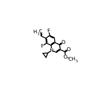 C=Cc1c(F)cc2c(=O)c(C(=O)OC)cn(C3CC3)c2c1F